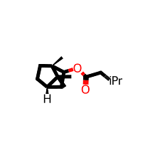 CC(C)CC(=O)OC1C[C@@H]2CC[C@@]1(C)C2(C)C